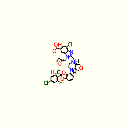 C[C@]1(c2ccc(Cl)cc2F)Oc2cccc(N3CCN(Cc4nc5c(Cl)cc(C(=O)O)cc5n4C[C@@H]4CCO4)[C@H]4COC[C@H]43)c2O1